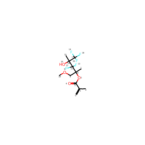 C=C(C)C(=O)OC(C)(COC)C(F)(F)C(C)(O)C(F)(F)F